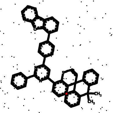 CC1(C)c2ccccc2C2(c3ccccc3Sc3c(-c4cc(-c5ccc(-c6cccc7c6oc6ccccc67)cc5)nc(-c5ccccc5)n4)cccc32)c2ccccc21